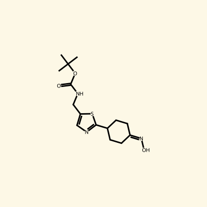 CC(C)(C)OC(=O)NCc1cnc(C2CCC(=NO)CC2)s1